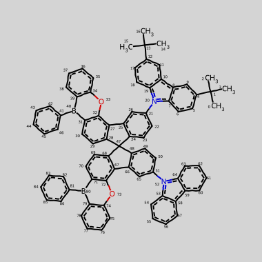 CC(C)(C)c1ccc2c(c1)c1cc(C(C)(C)C)ccc1n2-c1ccc2c(c1)-c1c(ccc3c1Oc1ccccc1B3c1ccccc1)C21c2ccc(-n3c4ccccc4c4ccccc43)cc2-c2c1ccc1c2Oc2ccccc2B1c1ccccc1